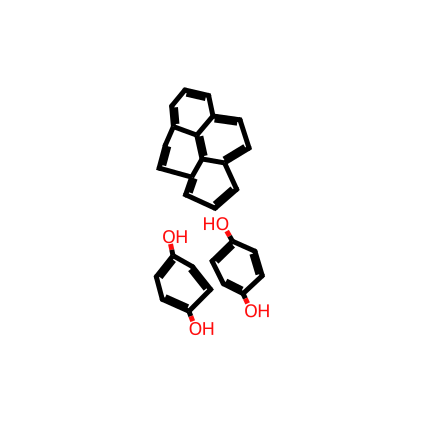 Oc1ccc(O)cc1.Oc1ccc(O)cc1.c1cc2ccc3cccc4ccc(c1)c2c34